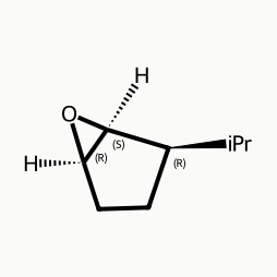 CC(C)[C@H]1CC[C@H]2O[C@@H]12